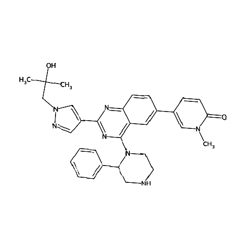 Cn1cc(-c2ccc3nc(-c4cnn(CC(C)(C)O)c4)nc(N4CCNCC4c4ccccc4)c3c2)ccc1=O